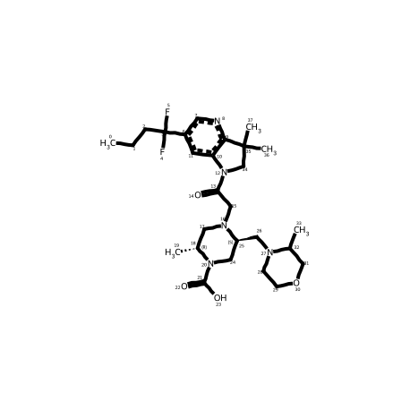 CCCC(F)(F)c1cnc2c(c1)N(C(=O)CN1C[C@@H](C)N(C(=O)O)C[C@@H]1CN1CCOCC1C)CC2(C)C